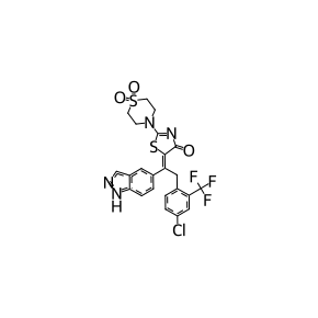 O=C1N=C(N2CCS(=O)(=O)CC2)SC1=C(Cc1ccc(Cl)cc1C(F)(F)F)c1ccc2[nH]ncc2c1